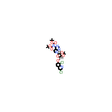 CC(C)(C)OC(=O)N(C(=O)OC(C)(C)C)c1ncnc2c1ccn2[C@@H]1O[C@H](COc2ccc3cc(Cl)cnc3c2Cl)[C@H]2OC(C)(C)O[C@H]21